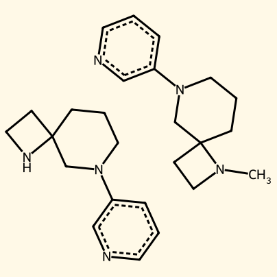 CN1CCC12CCCN(c1cccnc1)C2.c1cncc(N2CCCC3(CCN3)C2)c1